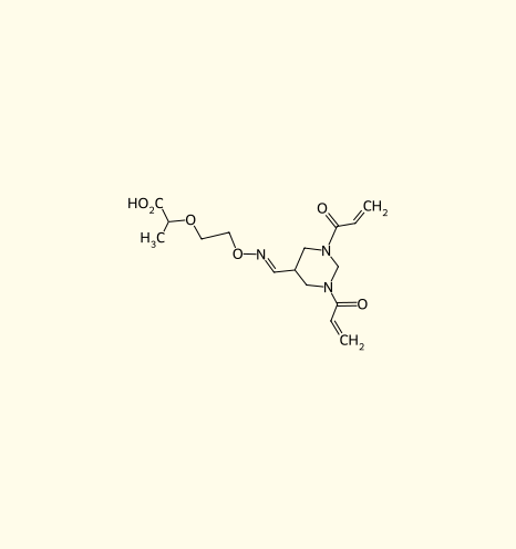 C=CC(=O)N1CC(C=NOCCOC(C)C(=O)O)CN(C(=O)C=C)C1